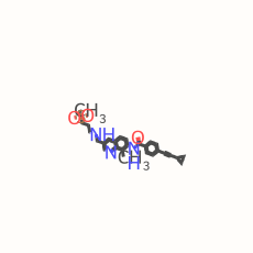 Cc1c(NC(=O)c2ccc(C#CC3CC3)cc2)ccc2cc(CNCCCS(C)(=O)=O)cnc12